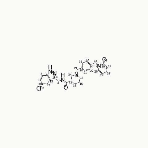 O=C(NCc1n[nH]c2ccc(Cl)cc12)C1CCCN(Cc2ccc(Cn3ccccc3=O)cc2)C1